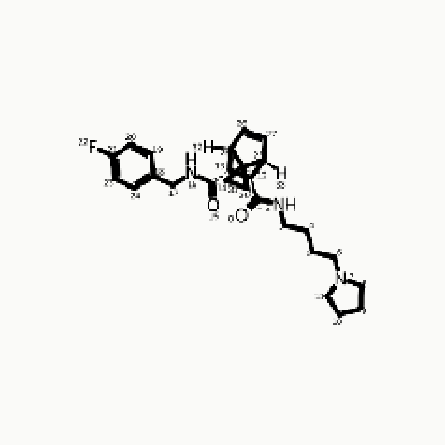 O=C(NCCCCN1CCCC1)[C@H]1[C@H](C(=O)NCc2ccc(F)cc2)[C@@H]2C=C[C@H]1C21CC1